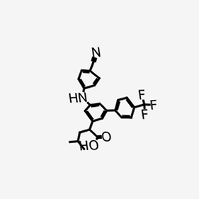 CC(C)CC(C(=O)O)c1cc(Nc2ccc(C#N)cc2)cc(-c2ccc(C(F)(F)F)cc2)c1